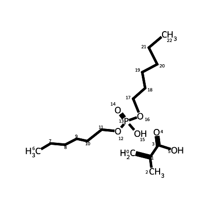 C=C(C)C(=O)O.CCCCCCOP(=O)(O)OCCCCCC